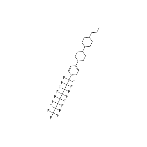 CCCC1CCC(C2CCC(c3ccc(C(F)(F)C(F)(F)C(F)(F)C(F)(F)C(F)(F)C(F)(F)C(F)(F)C(F)(F)F)cc3)CC2)CC1